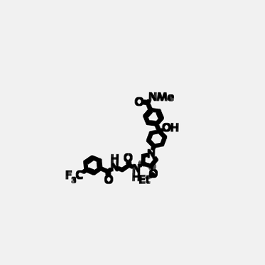 CCO[C@H]1CN(C2CCC(O)(c3ccc(C(=O)NC)cc3)CC2)C[C@@H]1NC(=O)CNC(=O)c1cccc(C(F)(F)F)c1